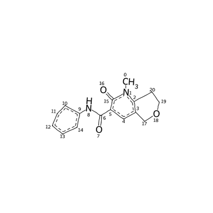 Cn1c2c(cc(C(=O)Nc3ccccc3)c1=O)COCC2